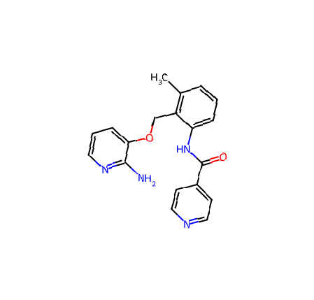 Cc1cccc(NC(=O)c2ccncc2)c1COc1cccnc1N